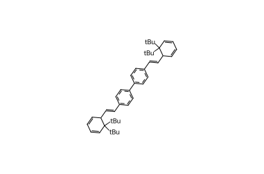 CC(C)(C)C1(C(C)(C)C)C=CC=CC1C=Cc1ccc(-c2ccc(C=CC3C=CC=CC3(C(C)(C)C)C(C)(C)C)cc2)cc1